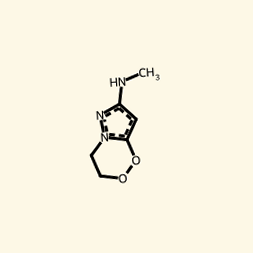 CNc1cc2n(n1)CCOO2